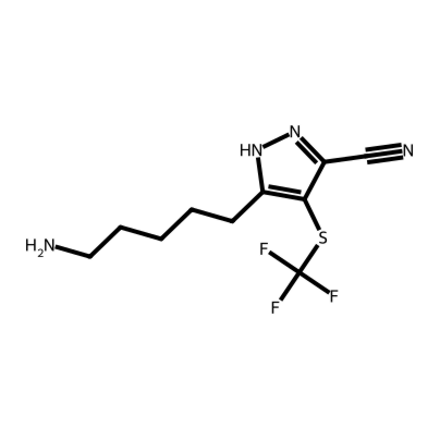 N#Cc1n[nH]c(CCCCCN)c1SC(F)(F)F